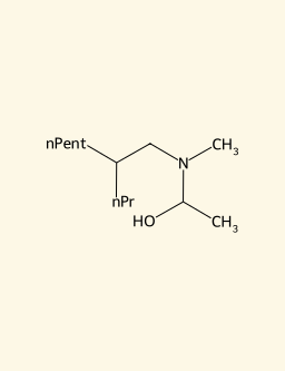 CCCCCC(CCC)CN(C)C(C)O